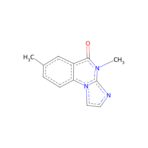 Cc1ccc2c(c1)c(=O)n(C)c1nccn21